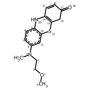 COCCN(C)c1ccc2c(c1)SC1=C(C=CC(=O)C1)N2